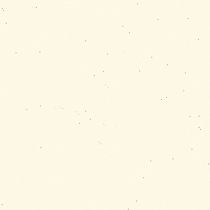 CC(C)(C)OC(=O)N1c2cc(F)cc3c(=O)[nH]nc(c23)C(N2C(=O)CN(C3CC3)C2=S)C1c1ccc(F)cc1